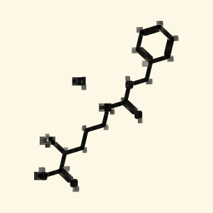 Cl.NC(CCCNC(=O)OCc1ccccc1)C(=O)O